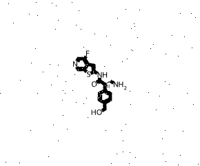 NC[C@@H](C(=O)Nc1cc2c(F)cncc2s1)c1ccc(CO)cc1